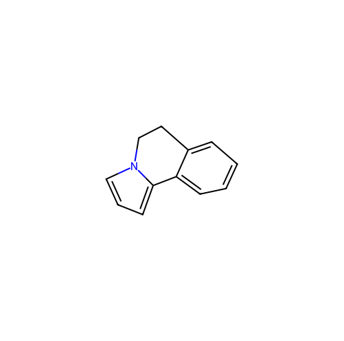 c1ccc2c(c1)CCn1cccc1-2